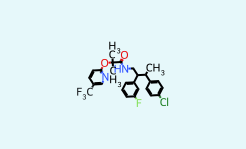 CC(c1ccc(Cl)cc1)C(CNC(=O)C(C)(C)Oc1ccc(C(F)(F)F)cn1)c1cccc(F)c1